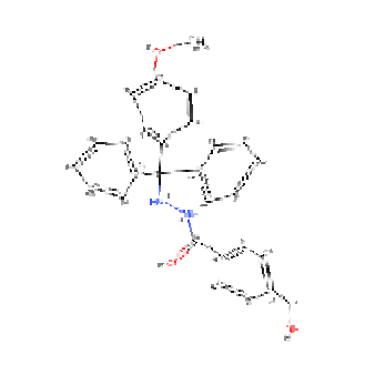 COc1ccc(C(NNC(=O)c2ccc(CO)cc2)(c2ccccc2)c2ccccc2)cc1